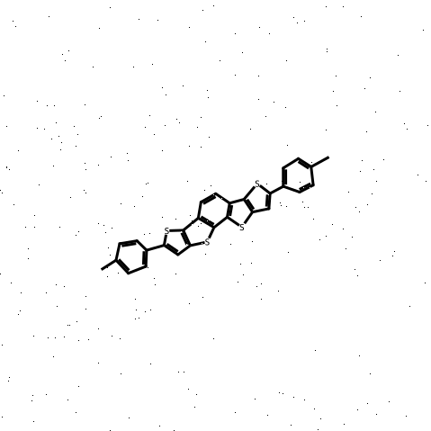 Cc1ccc(-c2cc3sc4c(ccc5c6sc(-c7ccc(C)cc7)cc6sc54)c3s2)cc1